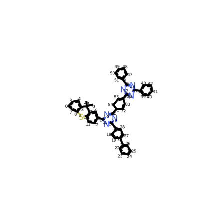 CC1(C)c2ccccc2Sc2ccc(-c3nc(-c4ccc(-c5ccccc5)cc4)nc(C4C=CC(c5nc(-c6ccccc6)nc(-c6ccccc6)n5)=CC4)n3)cc21